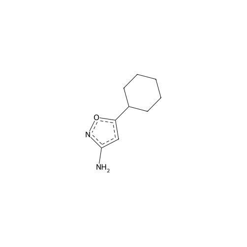 Nc1cc(C2CCCCC2)on1